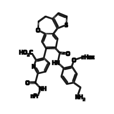 CCCCCCOc1cc(CN)ccc1NC(=O)c1cc2c(cc1-c1ccc(C(=O)NCCC)nc1C(=O)O)OCCc1ccsc1-2